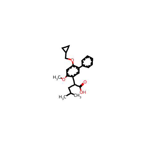 COc1cc(OCC2CC2)c(-c2ccccc2)cc1C(CC(C)C)C(=O)O